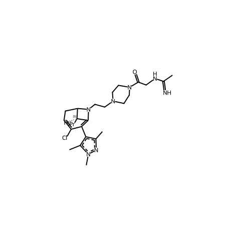 CC(=N)NCC(=O)N1CCN(CCN2C3=C(c4c(C)nn(C)c4C)C(Cl)=CCC2[C@@H]3C(C)C)CC1